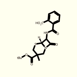 CC(C)(C)OC(=O)C1(C)CS[C@@H]2C(NC(=O)c3ccccc3C(=O)O)C(=O)N2C1